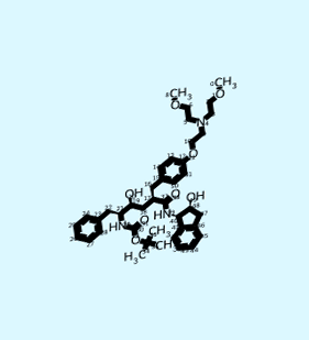 COCCN(CCOC)CCOc1ccc(C[C@H](C[C@H](O)[C@H](Cc2ccccc2)NC(=O)OC(C)(C)C)C(=O)N[C@H]2c3ccccc3C[C@H]2O)cc1